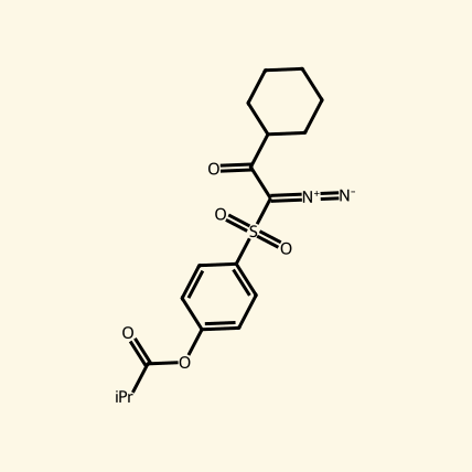 CC(C)C(=O)Oc1ccc(S(=O)(=O)C(=[N+]=[N-])C(=O)C2CCCCC2)cc1